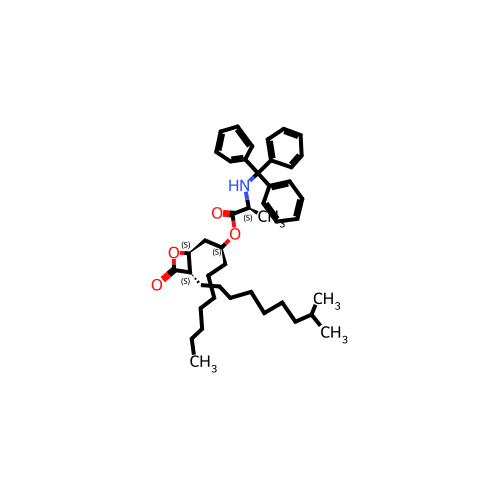 CCCCCCC[C@@H](C[C@@H]1OC(=O)[C@H]1CCCCCCCC(C)C)OC(=O)[C@H](C)NC(c1ccccc1)(c1ccccc1)c1ccccc1